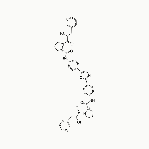 O=C(Nc1ccc(-c2cnc(-c3ccc(NC(=O)[C@@H]4CCCN4C(=O)C(O)Cc4cccnc4)cc3)o2)cc1)[C@@H]1CCCN1C(=O)C(O)Cc1cccnc1